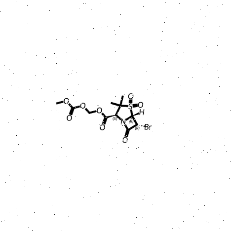 COC(=O)OCOC(=O)[C@@H]1N2C(=O)[C@@H](Br)[C@H]2S(=O)(=O)C1(C)C